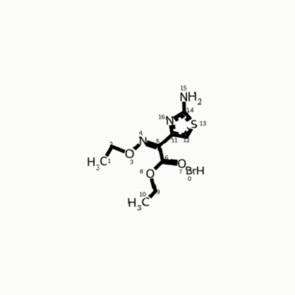 Br.CCO/N=C(\C(=O)OCC)c1csc(N)n1